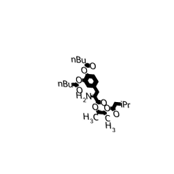 CCCCC(=O)Oc1ccc(C[C@H](N)C(=O)O[C@@H](C)C(C)OC(=O)CC(C)C)cc1OC(=O)CCCC